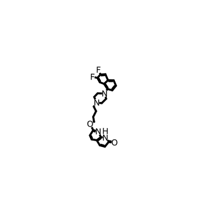 O=c1ccc2ccc(OCCCCN3CCN(c4cccc5cc(F)c(F)cc45)CC3)nc2[nH]1